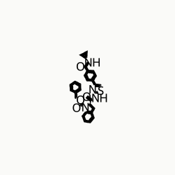 O=C(NC1CC1)c1ccc(-c2csc(NC(=O)[C@H]3CC4=C(CCC=C4)N3C(=O)OCc3ccccc3)n2)cc1